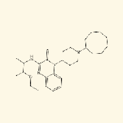 CCOC(C)C(C)Nc1nc2ccccc2n(C2CCN(C3CCCCCCC3)CC2)c1=O